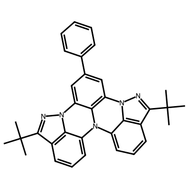 CC(C)(C)c1nn2c3cc(-c4ccccc4)cc4c3-n(c3cccc1c32)c1cccc2c(C(C)(C)C)nn4c21